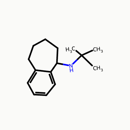 CC(C)(C)NC1CCCCc2ccccc21